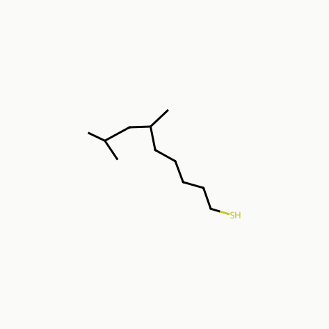 CC(C)CC(C)CCCCCS